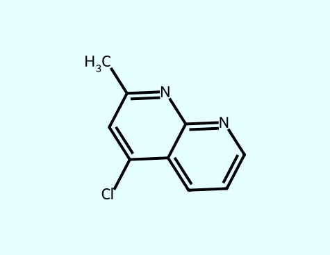 Cc1cc(Cl)c2cccnc2n1